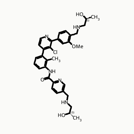 COc1cc(-c2nccc(-c3cccc(NC(=O)c4ccc(CNC[C@H](C)O)cn4)c3C)c2Cl)ccc1CNC[C@H](C)O